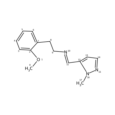 COc1ccccc1CCN=Cc1ccnn1C